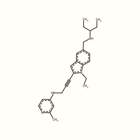 CCC(CC)NCc1ccc2c(c1)cc(C#CCNc1ccnc(C)c1)n2CC